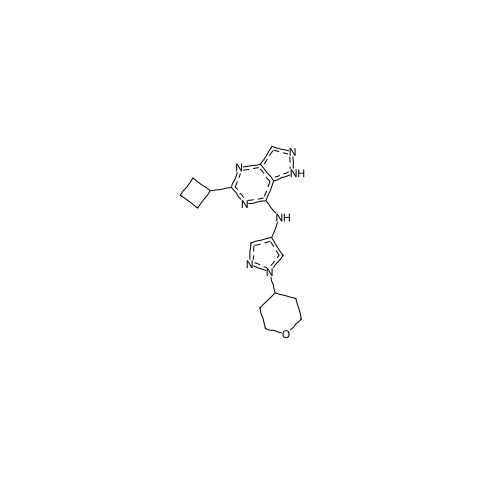 c1nn(C2CCOCC2)cc1Nc1nc(C2CCC2)nc2cn[nH]c12